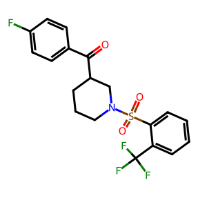 O=C(c1ccc(F)cc1)C1CCCN(S(=O)(=O)c2ccccc2C(F)(F)F)C1